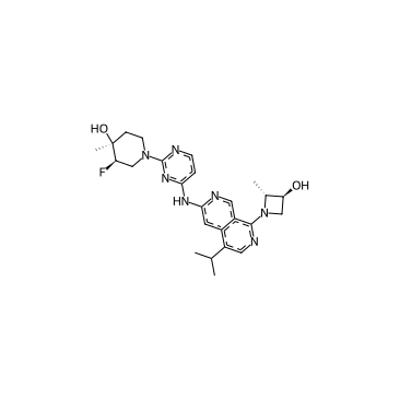 CC(C)c1cnc(N2C[C@H](O)[C@H]2C)c2cnc(Nc3ccnc(N4CC[C@](C)(O)[C@H](F)C4)n3)cc12